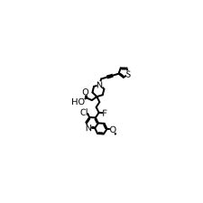 COc1ccc2ncc(Cl)c(C(F)CCC3(CC(=O)O)CCN(CC#Cc4ccsc4)CC3)c2c1